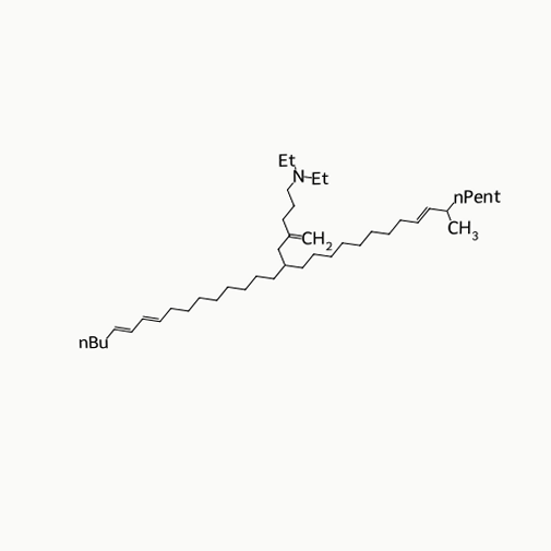 C=C(CCCN(CC)CC)CC(CCCCCCCC/C=C/C=C/CCCC)CCCCCCCC/C=C/C(C)CCCCC